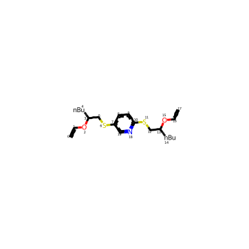 C=COC(CCCC)CSc1ccc(SCC(CCCC)OC=C)nc1